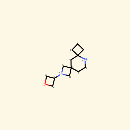 C1CC2(C1)CC1(CCN2)CN(C2COC2)C1